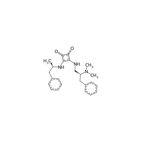 C[C@H](Cc1ccccc1)Nc1c(NC[C@H](Cc2ccccc2)N(C)C)c(=O)c1=O